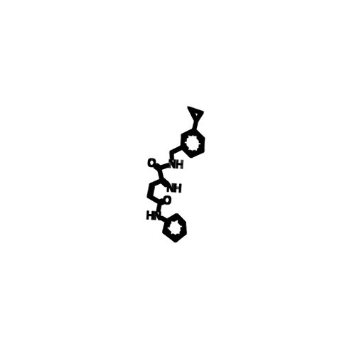 N=C(/C=C\C(=O)Nc1ccccc1)C(=O)NCc1cccc(C2CC2)c1